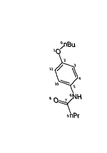 CCCCOc1ccc(NC(=O)CCC)cc1